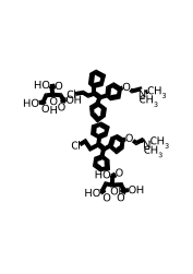 CN(C)CCOc1ccc(/C(=C(/CCCl)c2ccccc2)c2ccccc2)cc1.CN(C)CCOc1ccc(/C(=C(/CCCl)c2ccccc2)c2ccccc2)cc1.O=C(O)CC(O)(CC(=O)O)C(=O)O.O=C(O)CC(O)(CC(=O)O)C(=O)O